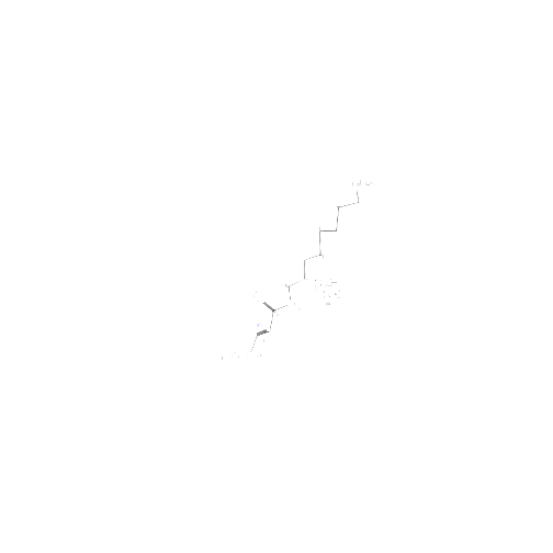 CCCCCCCCCCCCCCCCCCOC(=O)/C=C/C(=O)O.[NaH].[NaH]